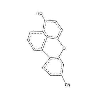 N#Cc1ccc2c(c1)Oc1ccc(O)c3cccc-2c13